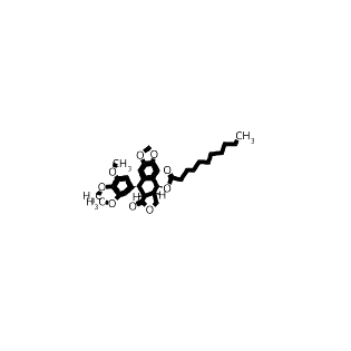 CCCCCCCCCCC(=O)O[C@H]1c2cc3c(cc2[C@@H](c2cc(OC)c(OC)c(OC)c2)[C@@H]2C(=O)OC[C@@H]21)OCO3